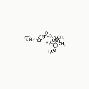 COc1cc(C)c(S(=O)(=O)N(C)CCOCC(=O)N2CCn3c(CCN4CCOCC4)ccc3C2)c(C)c1